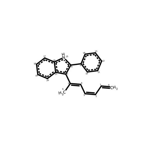 C=C/C=C\C=C(/C)c1c(-c2ccccc2)[nH]c2ccccc12